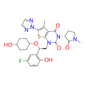 Cc1c(-n2nccn2)sc2c1c(=O)n([C@@H]1CCN(C)C1=O)c(=O)n2C[C@H](OC1CCC(O)CC1)c1cc(F)ccc1O